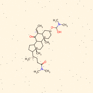 C/C=C1/C(=O)C2C(CC[C@@]3(C)C2CCC3[C@@H](C)CCC(=O)N(C)C)[C@@]2(C)CC[C@@H](OC(O)N(C)C)CC12